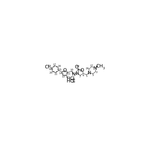 CN1CCN(CC2CN(N=Cc3ccc(-c4ccc(Cl)cc4)o3)C(=O)O2)CC1.Cl.Cl